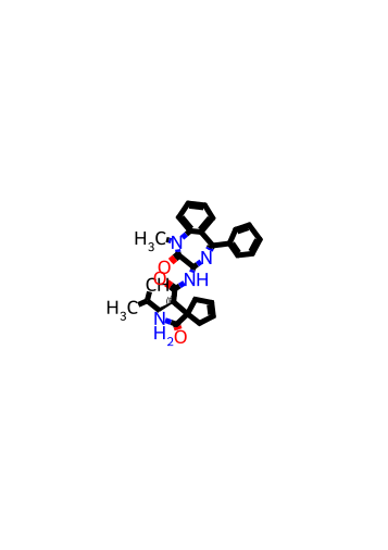 CC(C)C[C@@H](C(=O)NC1N=C(c2ccccc2)c2ccccc2N(C)C1=O)C1(C(N)=O)CC=CC1